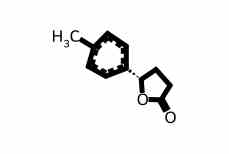 Cc1ccc([C@@H]2CCC(=O)O2)cc1